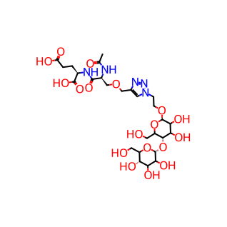 CC(=O)N[C@@H](COCc1cn(CCO[C@@H]2OC(CO)[C@@H](O[C@H]3OC(CO)[C@@H](O)C(O)C3O)C(O)C2O)nn1)C(=O)N[C@H](CCC(=O)O)C(=O)O